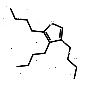 CCCCc1[c]sc(CCCC)c1CCCC